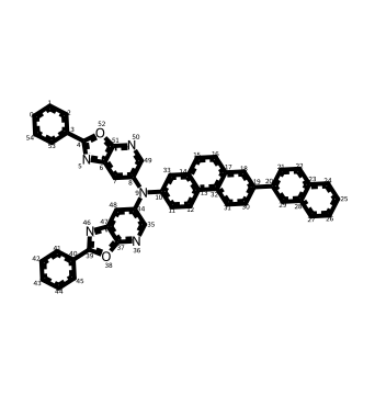 c1ccc(-c2nc3cc(N(c4ccc5c(ccc6cc(-c7ccc8ccccc8c7)ccc65)c4)c4cnc5oc(-c6ccccc6)nc5c4)cnc3o2)cc1